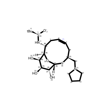 CC(C)(C)[S@@+]([O-])N[C@@H]1C/C=C\C[C@@H](CN2CCCC2)S[C@H]2O[C@H]1[C@H](O)[C@H](O)[C@H]2O